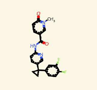 Cn1cc(C(=O)Nc2ccc(C3(c4ccc(F)c(F)c4)CC3)cn2)ccc1=O